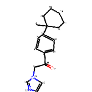 CC1(c2ccc(C(=O)Cn3ccnc3)cc2)CCCCC1